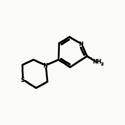 Nc1cc(N2CCSCC2)ccn1